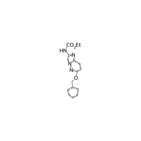 CCOC(=O)Nc1cn2nc(OCc3ccccc3)ccc2n1